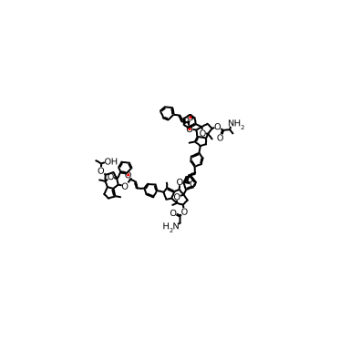 CC1=C2C(OC(=O)/C=C/c3ccc(C4CC5C(=C4C)C(OC(=O)/C=C/c4ccc(C6CC7C(=C6C)C(OC(=O)/C=C/c6ccccc6)C6(c8ccccc8)CC(OC(=O)C(C)N)C7(C)O6)cc4)C4(c6ccccc6)CC(OC(=O)CN)C5(C)O4)cc3)C3(c4ccccc4)CC(OC(C)O)C(C)(O3)C2CC1